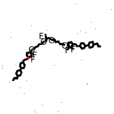 C/C=C/C1CCC(C2CCC(CCc3ccc(OCCCCCOCC(CC)COCCCCCOc4ccc(CCC5CCC(C6CCC(/C=C/C)CC6)CC5)c(F)c4F)c(F)c3F)CC2)CC1